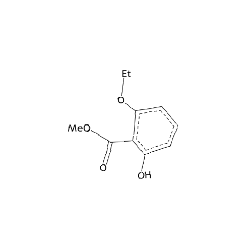 CCOc1cccc(O)c1C(=O)OC